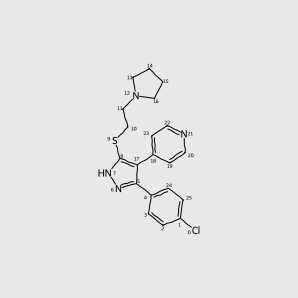 Clc1ccc(-c2n[nH]c(SCCN3CCCC3)c2-c2ccncc2)cc1